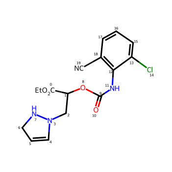 CCOC(=O)C(CN1C=CCN1)OC(=O)Nc1c(Cl)cccc1C#N